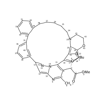 COC(=O)[C@@H](OC(C)(C)C)c1c(C)nc2cc3nn2c1-c1ccc2c(c1Cl)N(CCCCCc1ccccc1-c1cccc-3c1)CCO2